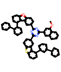 COc1cc(-c2nc(-c3ccc4oc5cccc(-c6ccccc6-c6ccccc6)c5c4c3)nc(-c3ccc4sc5cccc(-c6cccc(-c7ccccc7)c6)c5c4c3)n2)cc2ccccc12